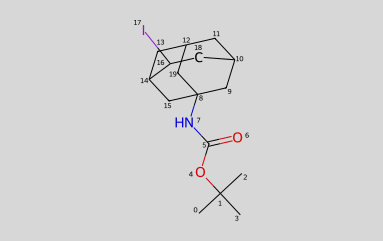 CC(C)(C)OC(=O)NC12CC3CC(CC(C1)C(I)C3)C2